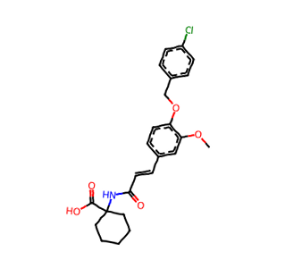 COc1cc(C=CC(=O)NC2(C(=O)O)CCCCC2)ccc1OCc1ccc(Cl)cc1